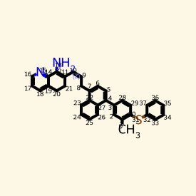 Cc1cc(-c2ccc(C/C=C\C3=C(N)c4ncccc4CC3)c3ccccc23)ccc1Sc1ccccc1